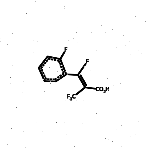 O=C(O)C(=C(F)c1ccccc1F)C(F)(F)F